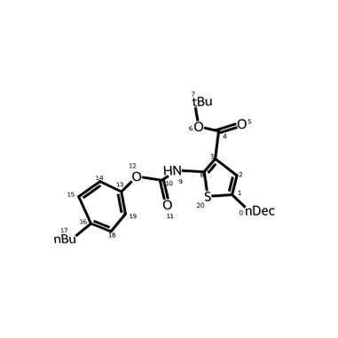 CCCCCCCCCCc1cc(C(=O)OC(C)(C)C)c(NC(=O)Oc2ccc(CCCC)cc2)s1